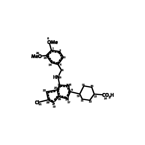 COc1ccc(CNc2nc(C3CCC(C(=O)O)CC3)nc3sc(Cl)cc23)cc1OC